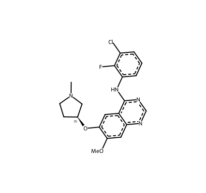 COc1cc2ncnc(Nc3cccc(Cl)c3F)c2cc1O[C@H]1CCN(C)C1